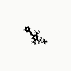 COC(=O)c1cc(NC(=O)OC(C)(C)C)c([N+](=O)[O-])cc1C#Cc1ccccc1